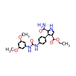 CCOC(=O)c1c[nH]c(C(N)=O)c1-c1ccc(NC(=O)Nc2cc(OC)cc(OC)c2)cc1